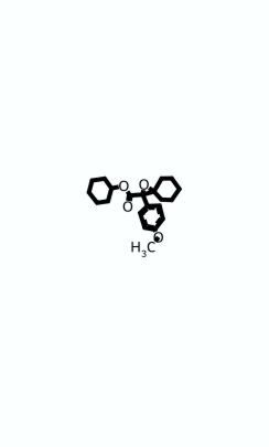 COc1ccc(C2(C(=O)OC3CCCCC3)OC23CCCCC3)cc1